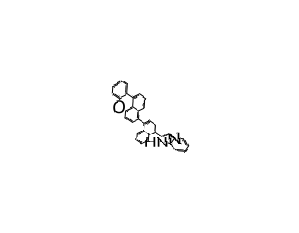 C1=CC2NC(c3ccc(-c4ccc5c6c(cccc46)-c4ccccc4O5)c4ccccc34)=CN2C=C1